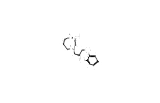 c1ccc2c(c1)OCC(CN1CCCNCC1)O2